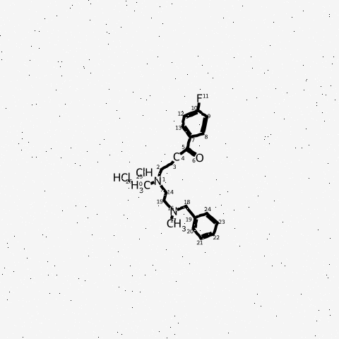 CN(CCCC(=O)c1ccc(F)cc1)CCN(C)Cc1ccccc1.Cl.Cl